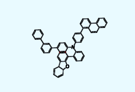 C1=CC2Oc3c(-c4ccccc4N(c4ccc(-c5cccc(-c6ccccc6)c5)cc4)c4ccc(-c5cccc6c5ccc5ccccc56)cc4)cccc3C2C=C1